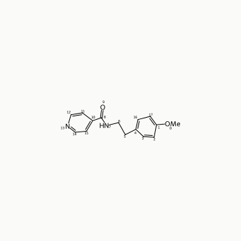 COc1ccc(CCNC(=O)c2ccncc2)cc1